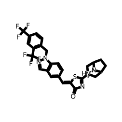 CN1C2CCC1CN(C1=NC(=O)/C(=C/c3ccc4c(cnn4Cc4ccc(C(F)(F)F)cc4C(F)(F)F)c3)S1)C2